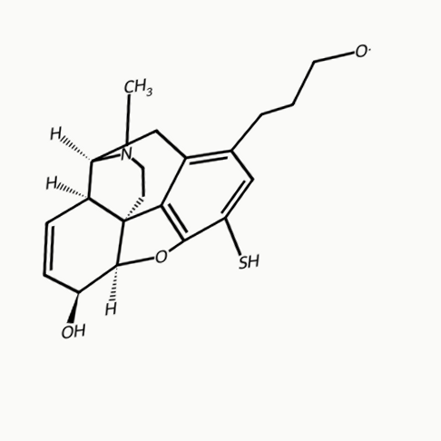 CN1CC[C@]23c4c5c(CCC[O])cc(S)c4O[C@H]2[C@@H](O)C=C[C@H]3[C@H]1C5